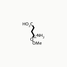 COO[C@@H](N)CCC(=O)O